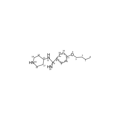 CCCCOc1ccc(C(=N)NC2CCNCC2)cc1